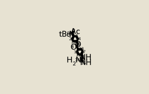 CC(=O)N(c1ccc(OC(=O)c2ccc(NC(=N)N)cc2)cc1)C(C)(C)C